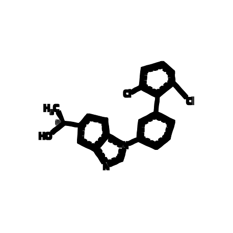 C[C@H](O)c1ccc2c(c1)ncn2-c1cccc(-c2c(Cl)cccc2Cl)c1